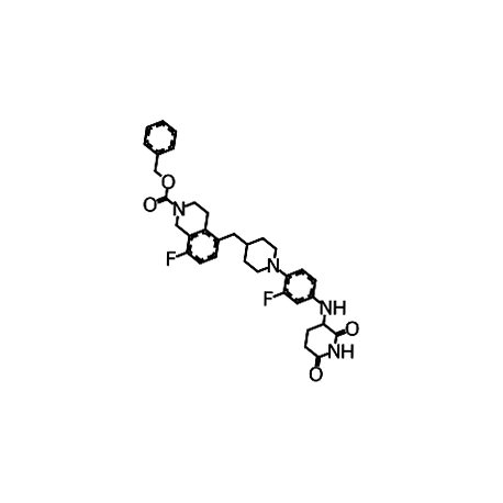 O=C1CCC(Nc2ccc(N3CCC(Cc4ccc(F)c5c4CCN(C(=O)OCc4ccccc4)C5)CC3)c(F)c2)C(=O)N1